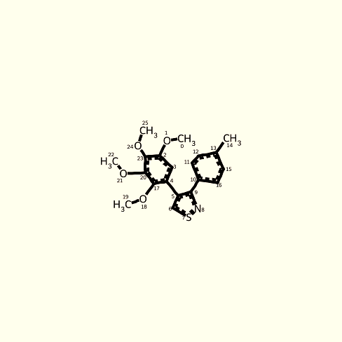 COc1cc(-c2csnc2-c2ccc(C)cc2)c(OC)c(OC)c1OC